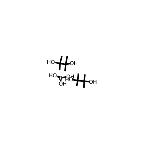 CC(C)(O)C(C)(C)O.CC(C)(O)C(C)(C)O.OB(O)O